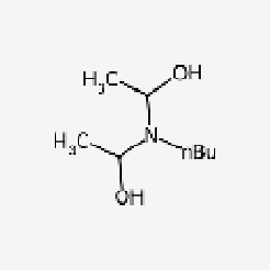 C[CH]CCN(C(C)O)C(C)O